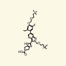 CCc1cc(OCOCC[Si](C)(C)C)c(F)cc1-c1cnc2c(-c3nc4c([nH]3)CN(C(=O)O)C4)n(COCC[Si](C)(C)C)nc2c1